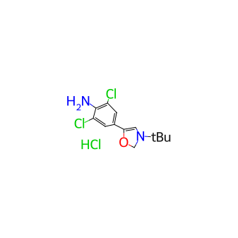 CC(C)(C)N1C=C(c2cc(Cl)c(N)c(Cl)c2)OC1.Cl